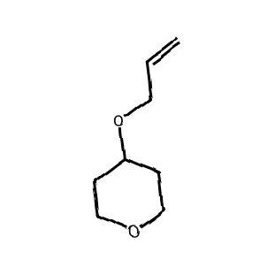 C=CCOC1CCOCC1